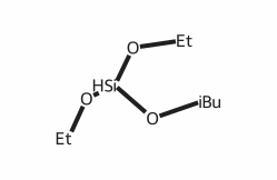 CCO[SiH](OCC)OC(C)CC